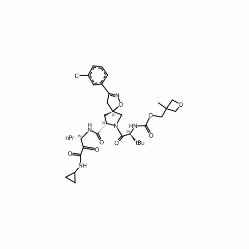 CCC[C@H](NC(=O)[C@@H]1C[C@]2(CC(c3cccc(Cl)c3)=NO2)CN1C(=O)[C@@H](NC(=O)OCC1(C)COC1)C(C)(C)C)C(=O)C(=O)NC1CC1